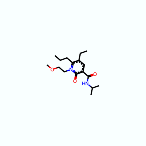 CCCc1c(CC)cc(C(=O)NC(C)C)c(=O)n1CCOC